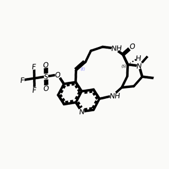 CC1CC2C[C@@H](C(=O)NCC/C=C/c3c(OS(=O)(=O)C(F)(F)F)ccc4ncc(cc34)N2)N1C